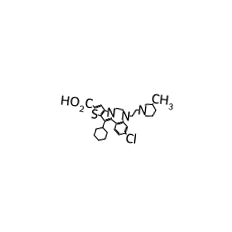 CC1CCCN(CCN2CCn3c(c(C4CCCCC4)c4sc(C(=O)O)cc43)-c3ccc(Cl)cc32)C1